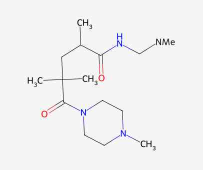 CNCNC(=O)C(C)CC(C)(C)C(=O)N1CCN(C)CC1